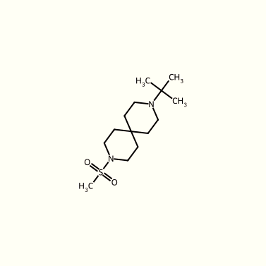 CC(C)(C)N1CCC2(CC1)CCN(S(C)(=O)=O)CC2